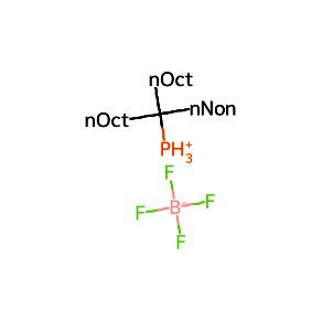 CCCCCCCCCC([PH3+])(CCCCCCCC)CCCCCCCC.F[B-](F)(F)F